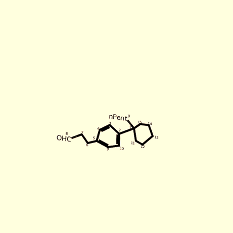 CCCCCC1(c2ccc(CCC=O)cc2)CCCCC1